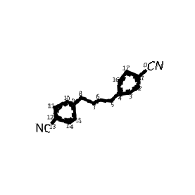 N#Cc1ccc(CCCCc2ccc(C#N)cc2)cc1